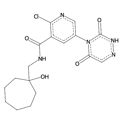 O=C(NCC1(O)CCCCCC1)c1cc(-n2c(=O)cn[nH]c2=O)cnc1Cl